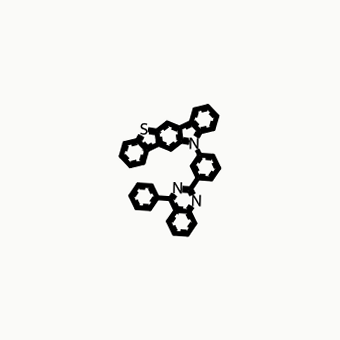 c1ccc(-c2nc(-c3cccc(-n4c5ccccc5c5cc6sc7ccccc7c6cc54)c3)nc3ccccc23)cc1